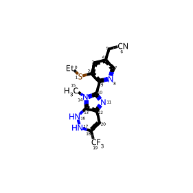 CCSc1cc(CC#N)cnc1-c1nc2c(n1C)NNC(C(F)(F)F)=C2